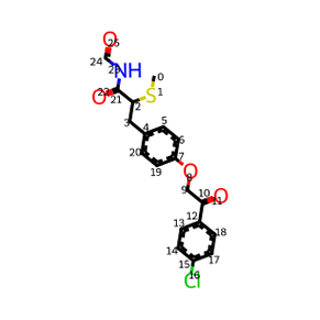 CSC(Cc1ccc(OCC(=O)c2ccc(Cl)cc2)cc1)C(=O)NC=O